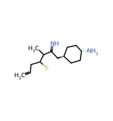 C=CCC(F)C(C)C(=N)C[C@H]1CC[C@H](N)CC1